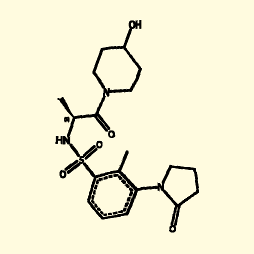 [CH2][C@H](NS(=O)(=O)c1cccc(N2CCCC2=O)c1C)C(=O)N1CCC(O)CC1